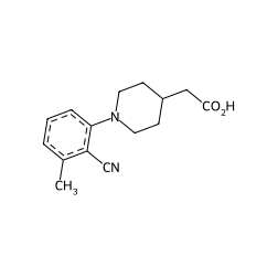 Cc1cccc(N2CCC(CC(=O)O)CC2)c1C#N